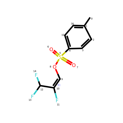 Cc1ccc(S(=O)(=O)O/C=C(/F)C(F)F)cc1